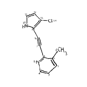 Cc1cccnc1C#Cc1[nH]ccc1Cl